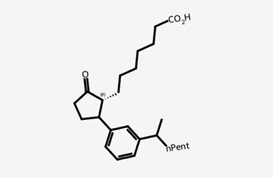 CCCCCC(C)c1cccc(C2CCC(=O)[C@@H]2CCCCCCC(=O)O)c1